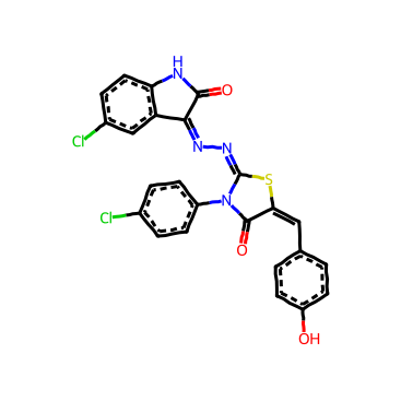 O=C1Nc2ccc(Cl)cc2C1=NN=C1SC(=Cc2ccc(O)cc2)C(=O)N1c1ccc(Cl)cc1